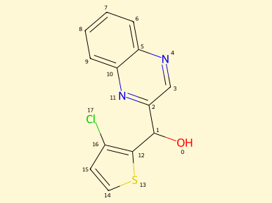 OC(c1cnc2ccccc2n1)c1sccc1Cl